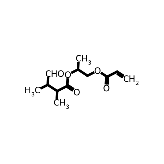 C=CC(=O)OCC(C)OC(=O)C(C)C(C)C=O